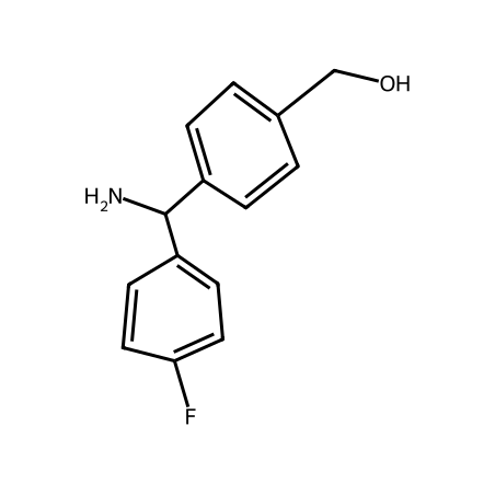 NC(c1ccc(F)cc1)c1ccc(CO)cc1